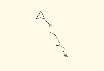 CC(C)(C)CNCCNC1CC1